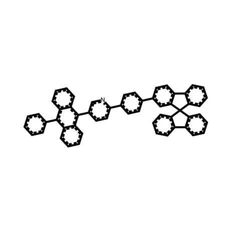 c1ccc(-c2c3ccccc3c(-c3ccc(-c4ccc(-c5ccc6c(c5)C5(c7ccccc7-c7ccccc75)c5ccccc5-6)cc4)nc3)c3ccccc23)cc1